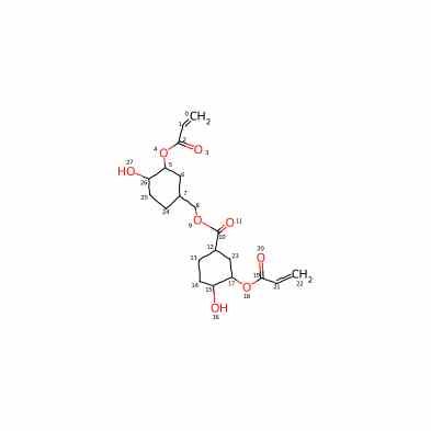 C=CC(=O)OC1CC(COC(=O)C2CCC(O)C(OC(=O)C=C)C2)CCC1O